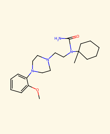 COc1ccccc1N1CCN(CCN(C(N)=O)C2(C)CCCCC2)CC1